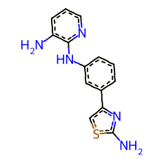 Nc1nc(-c2cccc(Nc3ncccc3N)c2)cs1